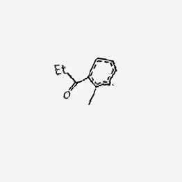 CCC(=O)c1ccc[c]c1C